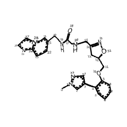 Cn1cc(-c2ccccc2OCC2CC(CNC(=O)NCc3ccc4nccn4c3)=NO2)cn1